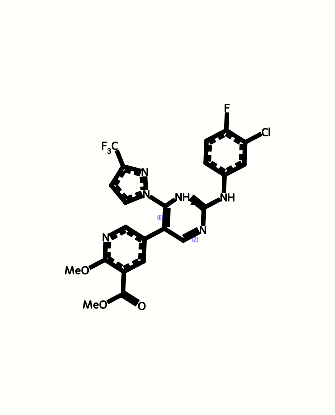 C=C(/N=C\C(=C(/N)n1ccc(C(F)(F)F)n1)c1cnc(OC)c(C(=O)OC)c1)Nc1ccc(F)c(Cl)c1